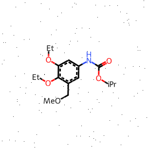 CCOc1cc(NC(=O)OC(C)C)cc(COC)c1OCC